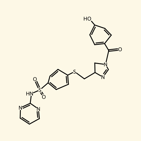 O=C(c1ccc(O)cc1)N1C=NC(CSc2ccc(S(=O)(=O)Nc3ncccn3)cc2)C1